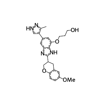 COc1ccc2c(c1)CC(c1nc3cc(-c4c[nH]nc4C)cc(OCCCO)c3[nH]1)CO2